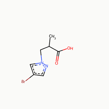 CC(Cn1cc(Br)cn1)C(=O)O